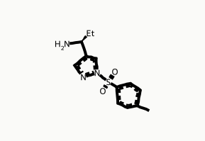 CC[C@H](N)c1cnn(S(=O)(=O)c2ccc(C)cc2)c1